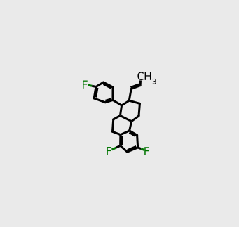 CC=CC1CCC2c3cc(F)cc(F)c3CCC2C1c1ccc(F)cc1